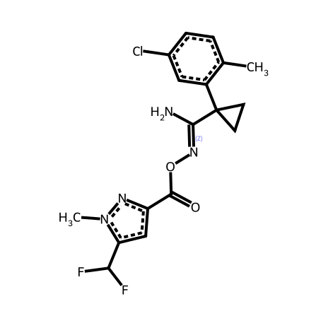 Cc1ccc(Cl)cc1C1(/C(N)=N/OC(=O)c2cc(C(F)F)n(C)n2)CC1